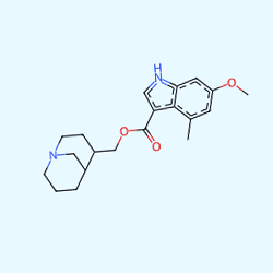 COc1cc(C)c2c(C(=O)OCC3CCN4CCCC3C4)c[nH]c2c1